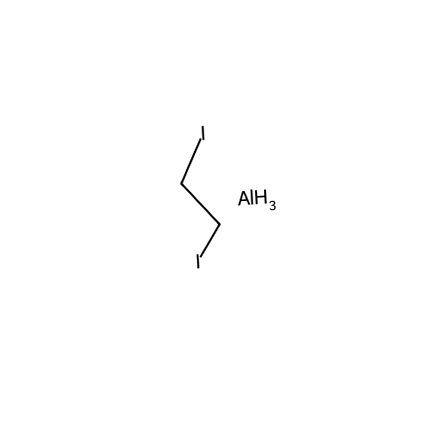 ICCI.[AlH3]